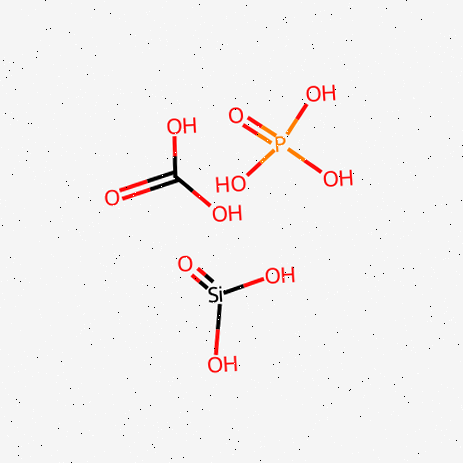 O=C(O)O.O=P(O)(O)O.O=[Si](O)O